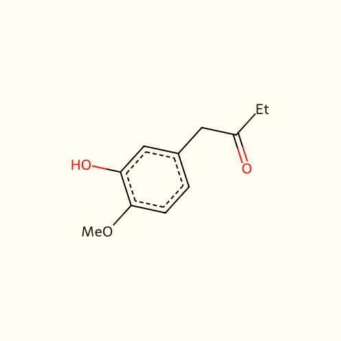 CCC(=O)Cc1ccc(OC)c(O)c1